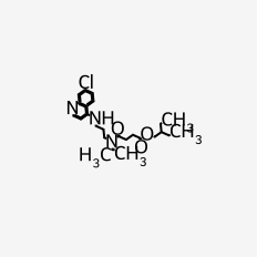 CCC(CC)COC(=O)CCC(=O)N(CCCNc1ccnc2cc(Cl)ccc12)C(C)C